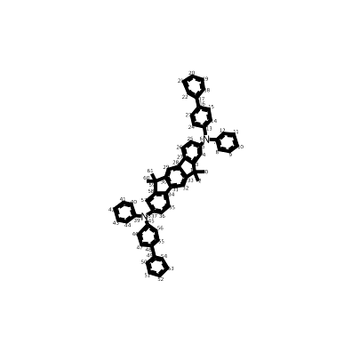 CC1(C)c2cc(N(c3ccccc3)c3ccc(-c4ccccc4)cc3)ccc2-c2cc3c(cc21)-c1ccc(N(c2ccccc2)c2ccc(-c4ccccc4)cc2)cc1C3(C)C